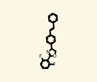 Fc1cccc(F)c1C1=NC(c2ccc(/C=C/c3ccccc3)cc2)CO1